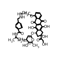 CNNCc1ccc(C(=O)NC(C)C)cc1.COc1cccc2c1C(=O)c1c(O)c3c(c(O)c1C2=O)C[C@@](O)(C(=O)CO)C[C@@H]3O[C@H]1C[C@H](N)[C@H](O)[C@H](C)O1